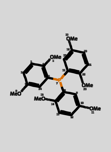 COc1ccc(OC)c(P(c2cc(OC)ccc2OC)c2cc(OC)ccc2OC)c1